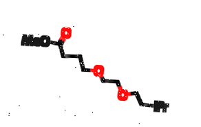 COC(=O)CCCOCCOCCC(C)C